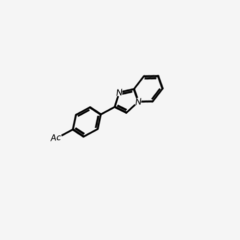 CC(=O)c1ccc(-c2cn3ccccc3n2)cc1